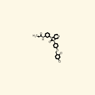 C=CC(=O)Nc1cccc(-n2c(=O)n(-c3ccc(OCc4ccc(Cl)cc4Cl)cc3)c3cnccc32)c1